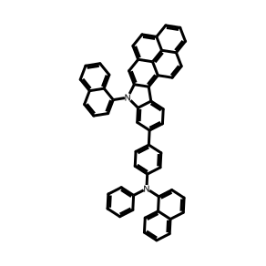 c1ccc(N(c2ccc(-c3ccc4c5c6ccc7cccc8ccc(cc5n(-c5cccc9ccccc59)c4c3)c6c87)cc2)c2cccc3ccccc23)cc1